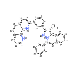 Cc1c(-c2cccc(-c3ccc4ccc5cccnc5c4n3)c2)nn2c(-c3ccccc3)cc3ccccc3c12